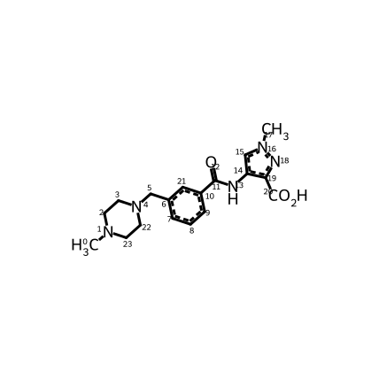 CN1CCN(Cc2cccc(C(=O)Nc3cn(C)nc3C(=O)O)c2)CC1